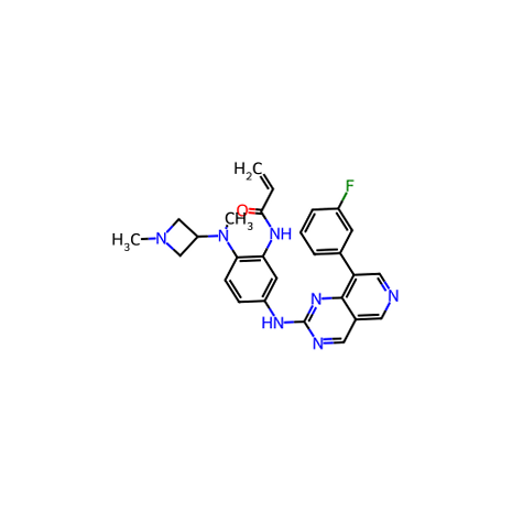 C=CC(=O)Nc1cc(Nc2ncc3cncc(-c4cccc(F)c4)c3n2)ccc1N(C)C1CN(C)C1